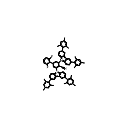 Cc1cc(C)c(-c2ccc3c(c2)c2cc(-c4c(C)cc(C)cc4C)ccc2n3-c2cc(-c3c(F)cccc3F)cc(-n3c4ccc(-c5c(C)cc(C)cc5C)cc4c4cc(-c5c(C)cc(C)cc5C)ccc43)c2C#N)c(C)c1